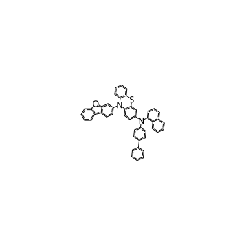 c1ccc(-c2ccc(N(c3ccc4c(c3)Sc3ccccc3N4c3ccc4c(c3)oc3ccccc34)c3cccc4ccccc34)cc2)cc1